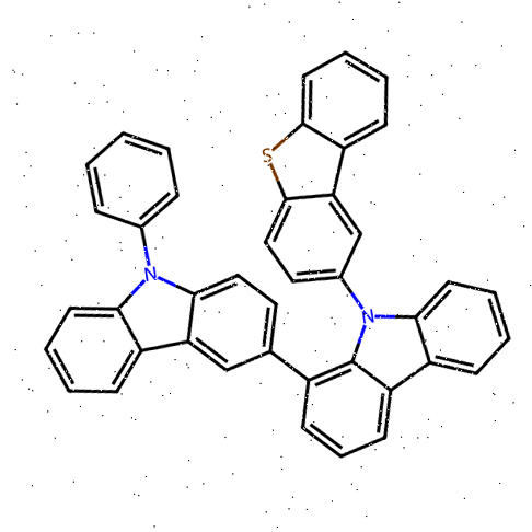 c1ccc(-n2c3ccccc3c3cc(-c4cccc5c6ccccc6n(-c6ccc7sc8ccccc8c7c6)c45)ccc32)cc1